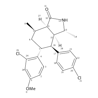 COc1ccc([C@@H]2C[C@@H](C)[C@H]3C(=O)N[C@H](C)[C@H]3[C@H]2c2ccc(Cl)cc2)c(Cl)c1